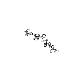 CC(C)(C)C(=O)OCOC(=O)CCC(=O)C(=O)OCOC(=O)C(C)(C)C